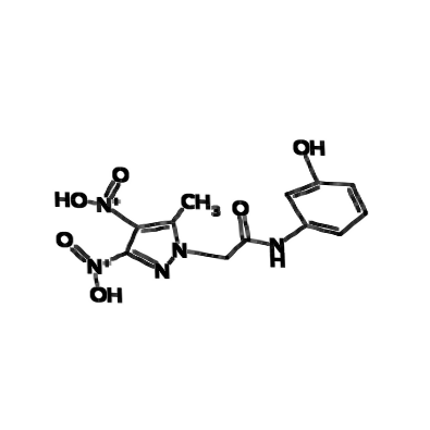 Cc1c([N+](=O)O)c([N+](=O)O)nn1CC(=O)Nc1cccc(O)c1